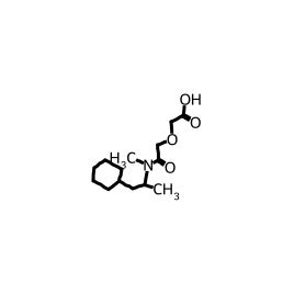 CC(CC1CCCCC1)N(C)C(=O)COCC(=O)O